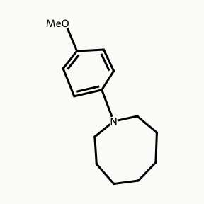 COc1ccc(N2CCCCCCC2)cc1